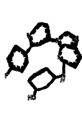 OC1CCCC(Nc2ccc3ncn(-c4ccnc(-c5ccc(F)cc5)c4)c3n2)C1